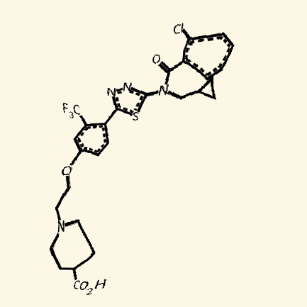 O=C(O)C1CCN(CCOc2ccc(-c3nnc(N(CC4CC4)C(=O)c4ccccc4Cl)s3)c(C(F)(F)F)c2)CC1